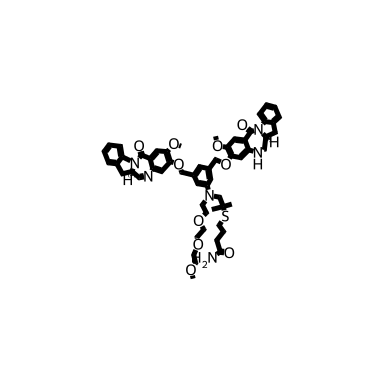 COCCOCCOCCN(CC(C)(C)SCCCC(N)=O)c1cc(COc2cc3c(cc2OC)C(=O)N2c4ccccc4C[C@H]2C=N3)cc(COc2cc3c(cc2OC)C(=O)N2c4ccccc4C[C@H]2CN3)c1